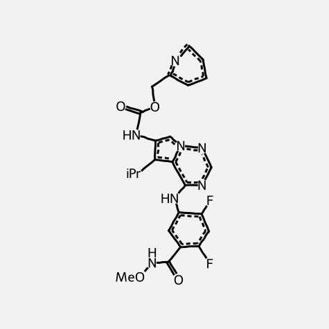 CONC(=O)c1cc(Nc2ncnn3cc(NC(=O)OCc4ccccn4)c(C(C)C)c23)c(F)cc1F